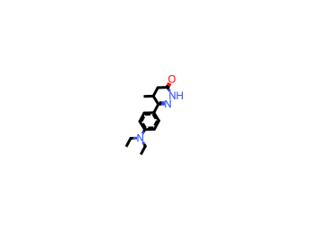 CCN(CC)c1ccc(C2=NNC(=O)CC2C)cc1